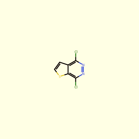 Clc1nnc(Cl)c2sccc12